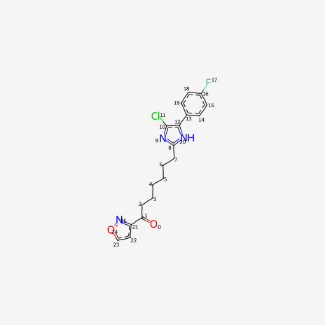 O=C(CCCCCCc1nc(Cl)c(-c2ccc(F)cc2)[nH]1)c1ccon1